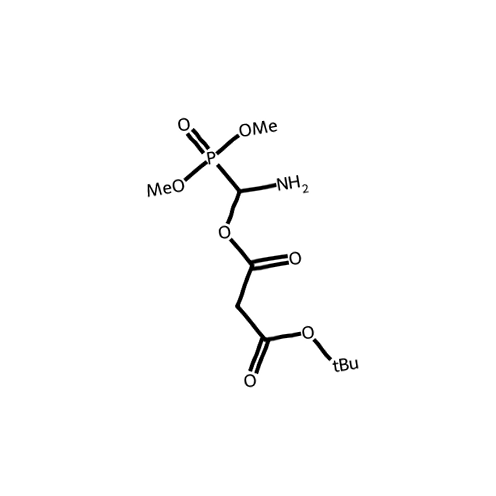 COP(=O)(OC)C(N)OC(=O)CC(=O)OC(C)(C)C